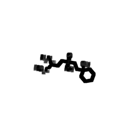 N=S(=O)(CC[C@H](N)C(=O)O)CCC1(O)CCCCC1